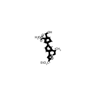 CCOC(=O)c1cc2n(n1)CC(C)c1cc(-c3ccc(CO)c(S(C)(=O)=O)c3)ccc1-2